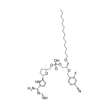 CCCCCCCCCCCCCCOC[C@H](COP(=O)(O)OC[C@]1(C)CC[C@H](c2ccc(/C(N)=N\C=N)[nH]2)O1)OCc1ccc(C#N)cc1F